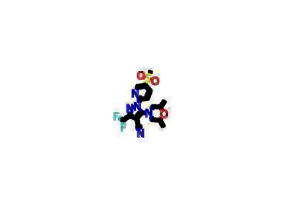 CC1CN(c2c(C#N)c(C(F)F)nn2-c2ccc(S(C)(=O)=O)cn2)CC(C)O1